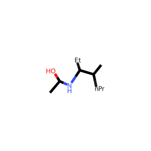 CCCC(C)C(CC)NC(C)O